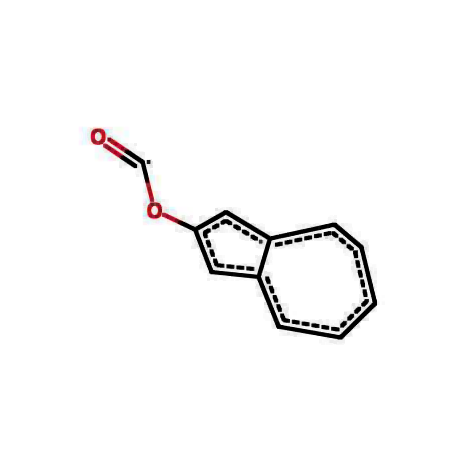 O=[C]Oc1cc2cccccc-2c1